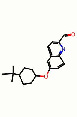 CC(C)(C)C1CCC(Oc2ccc3nc(C=O)ccc3c2)CC1